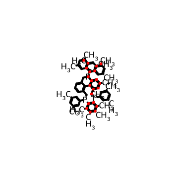 Cc1cc(C)cc(P(Cc2cccc(CP(c3cc(C)cc(C)c3)c3cc(C)cc(C)c3)c2-c2c(CP(c3cc(C)cc(C)c3)c3cc(C)cc(C)c3)cccc2CP(c2cc(C)cc(C)c2)c2cc(C)cc(C)c2)c2cc(C)cc(C)c2)c1